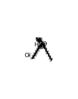 CCCCCCCCCCCCNC(=O)C(Cc1cc[n+](C)cc1)NC(=O)CCCCCCCCCCC.[Cl-]